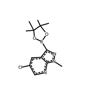 Cn1nc(B2OC(C)(C)C(C)(C)O2)c2cc(Cl)cnc21